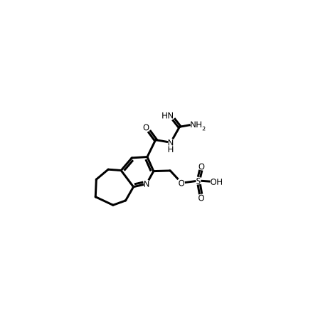 N=C(N)NC(=O)c1cc2c(nc1COS(=O)(=O)O)CCCCC2